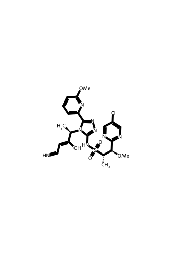 COc1cccc(-c2nnc(NS(=O)(=O)[C@@H](C)[C@H](OC)c3ncc(Cl)cn3)n2[C@H](C)/C(O)=C/C=N)n1